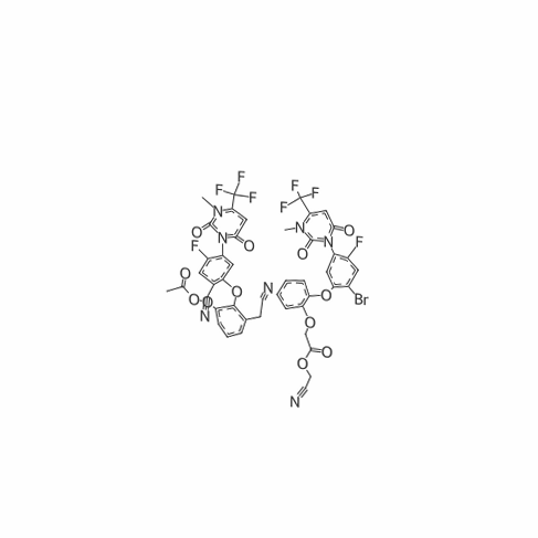 CC(=O)OOc1cccc(CC#N)c1Oc1cc(-n2c(=O)cc(C(F)(F)F)n(C)c2=O)c(F)cc1C#N.Cn1c(C(F)(F)F)cc(=O)n(-c2cc(Oc3ccccc3OCC(=O)OCC#N)c(Br)cc2F)c1=O